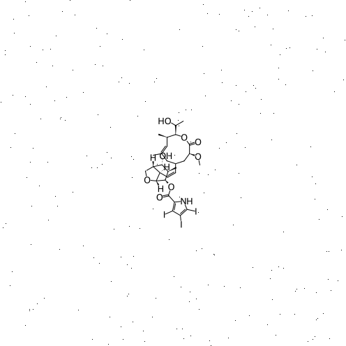 CO[C@H]1CC(/C=C\[C@@H]2[C@@H]3CO[C@H]2[C@H](OC(=O)c2[nH]c(I)c(I)c2I)[C@H](C)[C@H]3O)C/C(C)=C/[C@@H](C)[C@@H](C(C)O)OC1=O